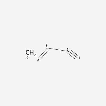 C.C#CC=C